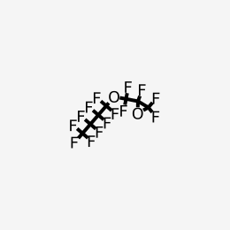 FC(F)(F)C(F)(F)C(F)(F)C(F)(F)OC(F)(F)C1(F)OC1(F)F